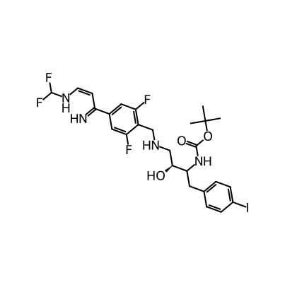 CC(C)(C)OC(=O)NC(Cc1ccc(I)cc1)[C@@H](O)CNCc1c(F)cc(C(=N)/C=C\NC(F)F)cc1F